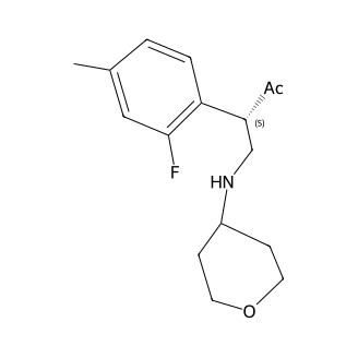 CC(=O)[C@H](CNC1CCOCC1)c1ccc(C)cc1F